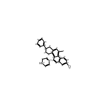 C1=CNCC=N1.Cc1cc2c(c3ccc4cc(Cl)ccc4c13)CCC(c1ccccc1)C2